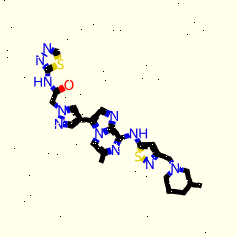 Cc1cn2c(-c3cnn(CC(=O)Nc4nncs4)c3)cnc2c(Nc2cc(CN3CCCC(C)C3)ns2)n1